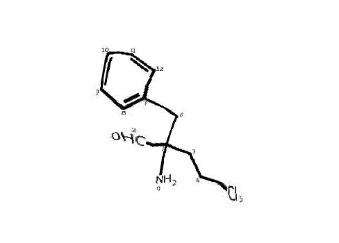 NC([C]=O)(CCCl)Cc1ccccc1